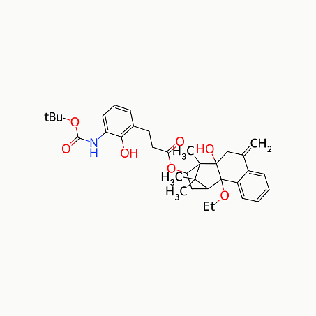 C=C1CC2(O)C(OCC)(c3ccccc31)C1CC(OC(=O)CCc3cccc(NC(=O)OC(C)(C)C)c3O)C2(C)C1(C)C